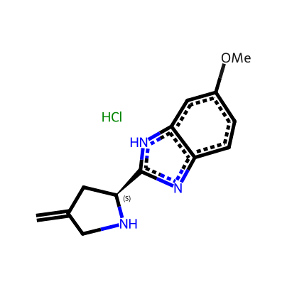 C=C1CN[C@H](c2nc3ccc(OC)cc3[nH]2)C1.Cl